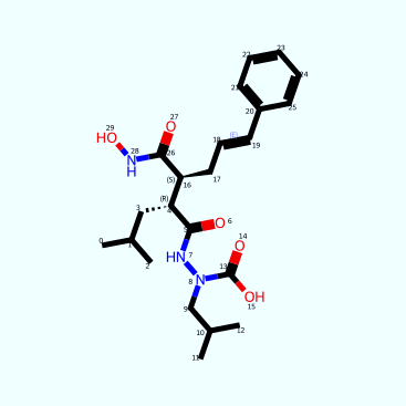 CC(C)C[C@@H](C(=O)NN(CC(C)C)C(=O)O)[C@H](C/C=C/c1ccccc1)C(=O)NO